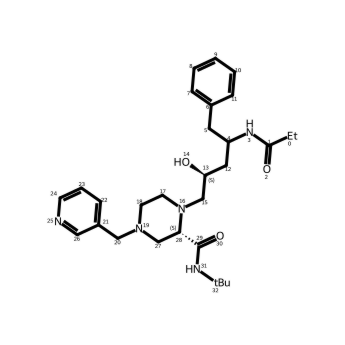 CCC(=O)NC(Cc1ccccc1)C[C@H](O)CN1CCN(Cc2cccnc2)C[C@H]1C(=O)NC(C)(C)C